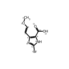 COC=Cc1nc(Br)[nH]c1C(=O)O